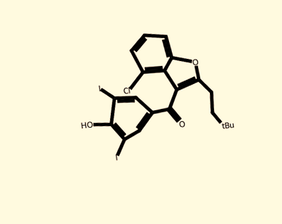 CC(C)(C)CCc1oc2cccc(Cl)c2c1C(=O)c1cc(I)c(O)c(I)c1